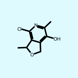 Cc1nc(Cl)c2c(c1O)COC2C